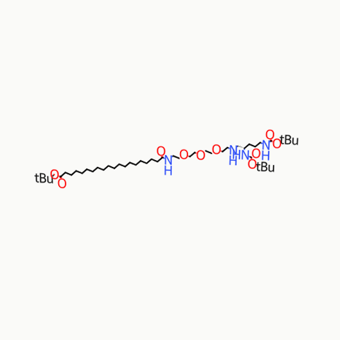 CC(C)(C)OC(=O)CCCCCCCCCCCCCCCCCCC(=O)NCCOCCOCCOCCNC[C@H](CCCNC(=O)OC(C)(C)C)NC(=O)OC(C)(C)C